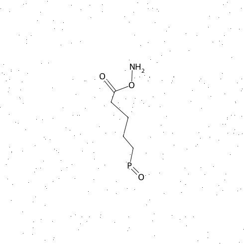 NOC(=O)CCCCP=O